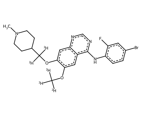 [2H]C([2H])([2H])Oc1cc2c(Nc3ccc(Br)cc3F)ncnc2cc1OC([2H])([2H])C1CCN(C)CC1